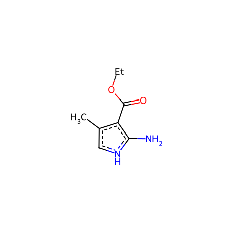 CCOC(=O)c1c(C)c[nH]c1N